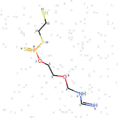 N=CNCOCCO[PH](=S)SCCS